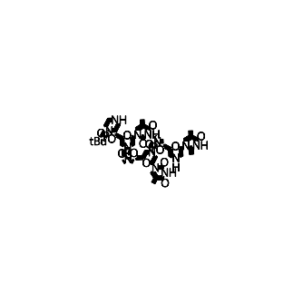 C=C1NC(=O)C(C)=CN1C1CNCC(COP(=O)(N(C)C)N2CC(COP(=O)(N(C)C)N3CC(COP(=O)(N4CCNCC4)C(C)(C)C)OC(n4cc(C)c(=O)[nH]c4=O)C3)OC(n3cc(C)c(=O)[nH]c3=O)C2)O1